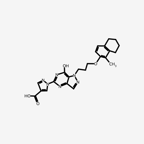 Cc1c(OCCCn2ncc3nc(-n4cc(C(=O)O)cn4)nc(O)c32)ccc2c1CCCC2